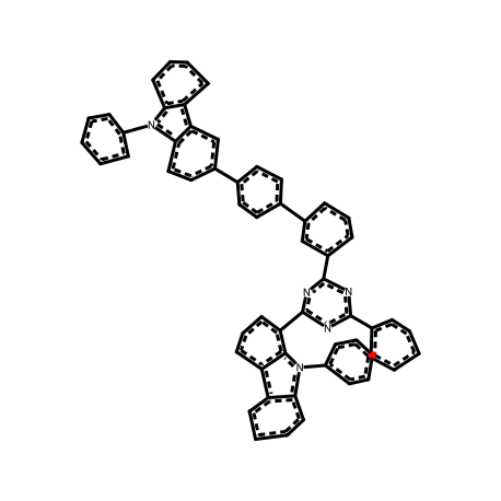 c1ccc(-c2nc(-c3cccc(-c4ccc(-c5ccc6c(c5)c5ccccc5n6-c5ccccc5)cc4)c3)nc(-c3cccc4c5ccccc5n(-c5ccccc5)c34)n2)cc1